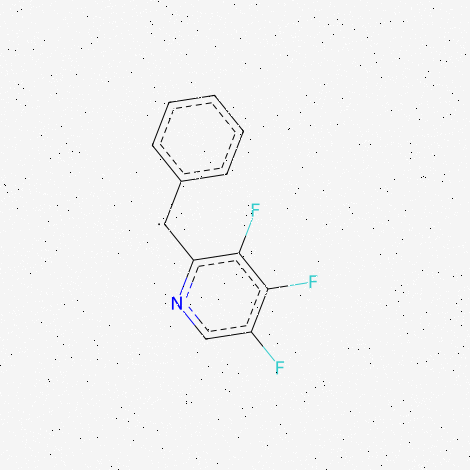 Fc1cnc([CH]c2ccccc2)c(F)c1F